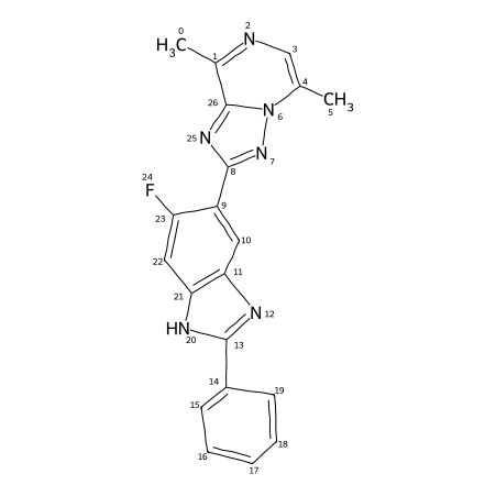 Cc1ncc(C)n2nc(-c3cc4nc(-c5ccccc5)[nH]c4cc3F)nc12